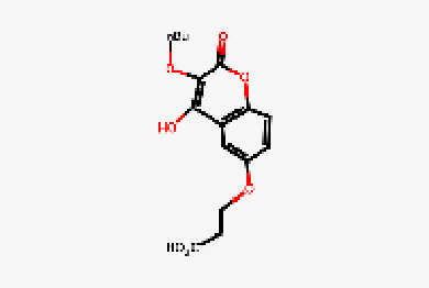 CCCCOc1c(O)c2cc(OCCC(=O)O)ccc2oc1=O